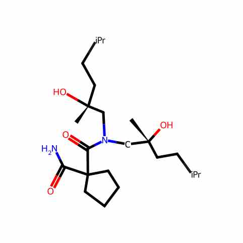 CC(C)CC[C@@](C)(O)CN(C[C@](C)(O)CCC(C)C)C(=O)C1(C(N)=O)CCCC1